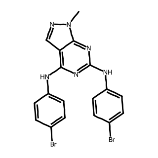 Cn1ncc2c(Nc3ccc(Br)cc3)nc(Nc3ccc(Br)cc3)nc21